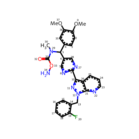 COc1ccc(C(c2cnc(-c3nn(Cc4ccccc4F)c4ncccc34)nc2)N(C)C(=O)ON)cc1OC